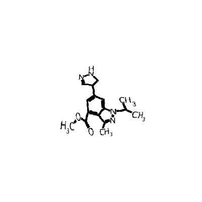 COC(=O)c1cc(C2C=NNC2)cc2c1c(C)nn2C(C)C